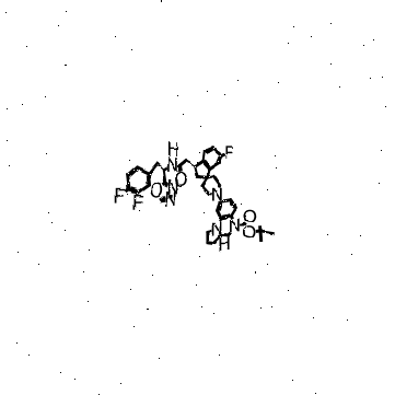 CC(C)(C)OC(=O)N1C[C@@H]2CCCN2c2cc(N3CCC4(CC3)C[C@@H](CC(=O)N[C@H](Cc3ccc(F)c(F)c3)c3nnco3)c3ccc(F)cc34)ccc21